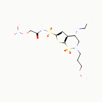 CCN[C@H]1CN(CCCOC)S(=O)(=O)c2sc(S(=O)(=O)NC(=O)CON(O)O)cc21